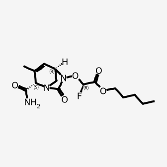 CCCCCOC(=O)[C@@H](F)ON1C(=O)N2C[C@H]1C=C(C)[C@H]2C(N)=O